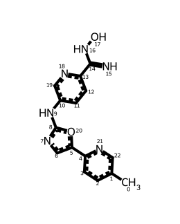 Cc1ccc(-c2cnc(Nc3ccc(C(=N)NO)nc3)o2)nc1